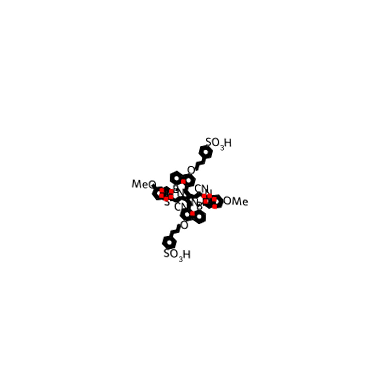 COc1ccc2sc(/C(C#N)=c3/c4c(-c5ccc(OCCCc6ccc(S(=O)(=O)O)cc6)cc5)n(B(c5ccccc5)c5ccccc5)/c(=C(/C#N)c5nc6cc(OC)ccc6s5)c4c(-c4ccc(OCCCc5ccc(S(=O)(=O)O)cc5)cc4)n3B(c3ccccc3)c3ccccc3)nc2c1